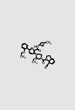 CCOc1ccccc1-c1ccc(N2CCN(C(=O)N3CCc4cccc(C#N)c43)C[C@H]2CC)c(C(=O)NC2CN(C)C2)n1